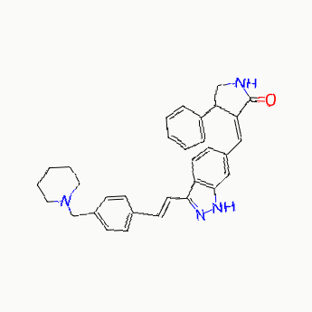 O=C1NCC(c2ccccc2)/C1=C\c1ccc2c(/C=C/c3ccc(CN4CCCCC4)cc3)n[nH]c2c1